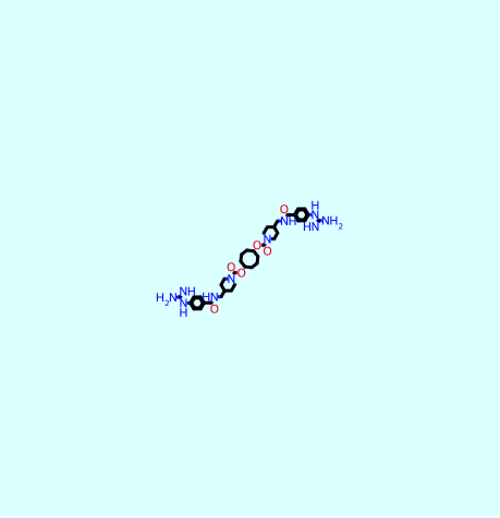 N=C(N)Nc1ccc(C(=O)NCC2CCN(C(=O)O[C@H]3CCC[C@@H](OC(=O)N4CCC(CNC(=O)c5ccc(NC(=N)N)cc5)CC4)CCC3)CC2)cc1